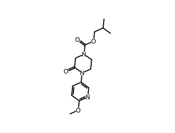 COc1ccc(N2CCN(C(=O)OCC(C)C)CC2=O)cn1